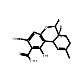 CCCCCc1cc2c(c(O)c1C(=O)OC)C1C=C(C)CC[C@H]1C(C)O2